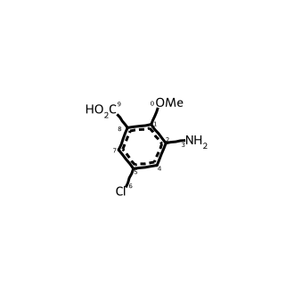 COc1c(N)cc(Cl)cc1C(=O)O